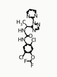 C[C@H](NC(=O)Nc1cc(Cl)c(OC(F)F)cc1Cl)c1ncnn1-c1ncccn1